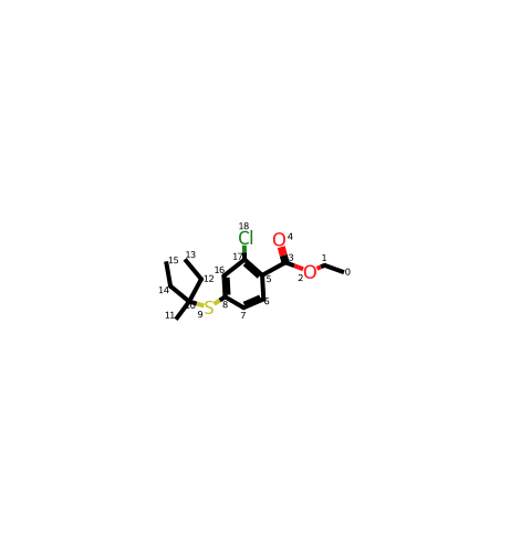 CCOC(=O)c1ccc(SC(C)(CC)CC)cc1Cl